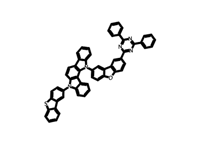 c1ccc(-c2nc(-c3ccccc3)nc(-c3ccc4oc5ccc(-n6c7ccccc7c7ccc8c(c9ccccc9n8-c8ccc9sc%10ccccc%10c9c8)c76)cc5c4c3)n2)cc1